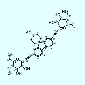 CC(=O)N1CCC2(CC1)c1cc(C#C[C@H]3O[C@H](CO)[C@@H](CO)[C@H](O)[C@@H]3O)ccc1-c1ccc(C#C[C@H]3O[C@H](CO)[C@@H](CO)[C@H](O)[C@@H]3O)cc12